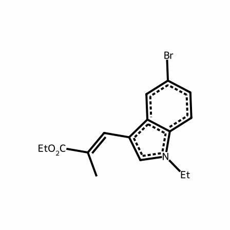 CCOC(=O)C(C)=Cc1cn(CC)c2ccc(Br)cc12